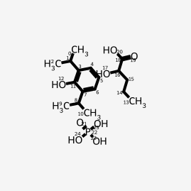 CC(C)c1cccc(C(C)C)c1O.CCCC(O)C(=O)O.O=P(O)(O)O